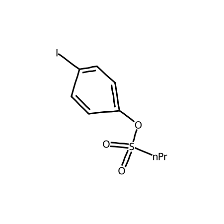 CCCS(=O)(=O)Oc1ccc(I)cc1